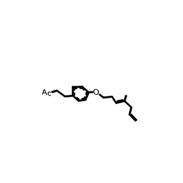 C=CC/C(C)=C/CCOc1ccc(CCC(C)=O)cc1